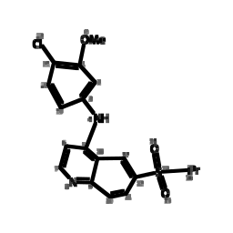 COc1cc(Nc2ccnc3ccc(S(=O)(=O)C(C)C)cc23)ccc1Cl